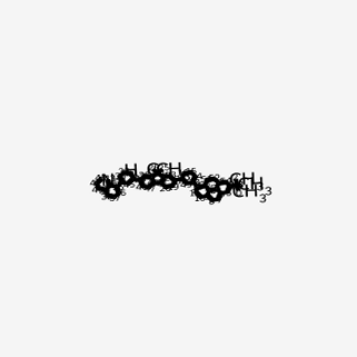 CC(C)(C)c1cc2ccc3ccc(-c4cccc(-c5ccc6c(c5)C(C)(C)c5cc(-c7cccc(-c8cccc9cccnc89)c7)ccc5-6)c4)c4ccc(c1)c2c34